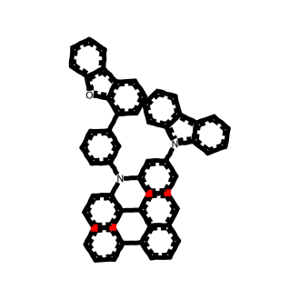 c1ccc(-c2cccc3cccc(-c4ccccc4N(c4cccc(-c5cccc6c5oc5ccccc56)c4)c4cccc(-n5c6ccccc6c6ccccc65)c4)c23)cc1